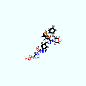 C[C@H]1COCCN1c1cc(C2(S(=O)(=O)C3CCCC3)CC2)nc(-c2ccc(NC(=O)NCCCO)cc2)n1